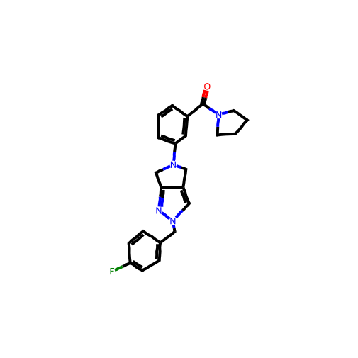 O=C(c1cccc(N2Cc3cn(Cc4ccc(F)cc4)nc3C2)c1)N1CCCC1